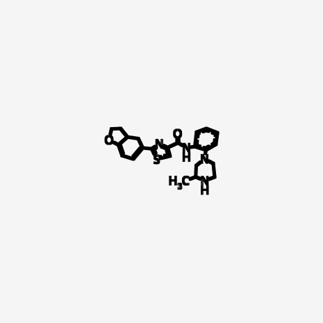 CC1CN(c2ccccc2NC(=O)c2csc(C3=CC=C4OCCC4C3)n2)CCN1